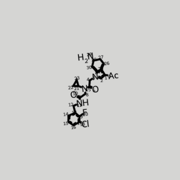 CC(=O)c1cn(CC(=O)N(CC(=O)NCc2cccc(Cl)c2F)C2CC2)c2c1=CCC(N)C=2